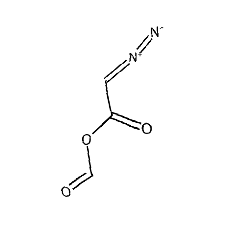 [N-]=[N+]=CC(=O)OC=O